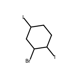 BrC1CC(I)CCC1I